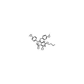 CCCCOc1nc(Cl)c([N+](=O)[O-])c(N(Cc2ccc(OC)cc2)Cc2ccc(OC)cc2)n1